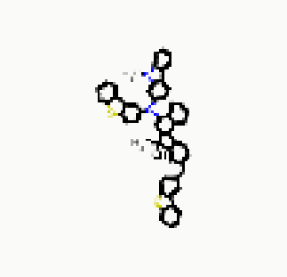 Cn1c2ccccc2c2ccc(N(c3ccc4sc5ccccc5c4c3)c3cc4c(c5ccccc35)-c3ccc(Cc5ccc6sc7ccccc7c6c5)cc3C4(C)C)cc21